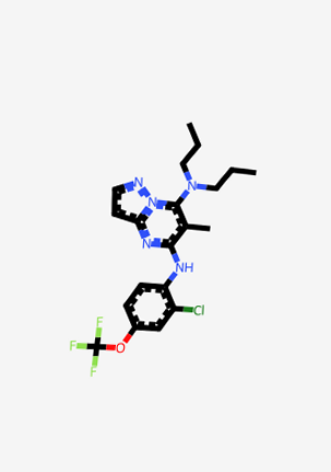 CCCN(CCC)c1c(C)c(Nc2ccc(OC(F)(F)F)cc2Cl)nc2ccnn12